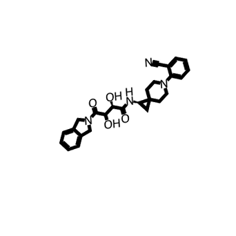 N#Cc1ccccc1N1CCC2(CC1)C[C@H]2NC(=O)[C@H](O)C(O)C(=O)N1Cc2ccccc2C1